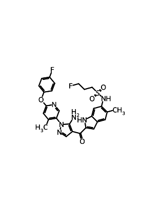 Cc1cc2cc(C(=O)c3cnn(-c4cnc(Oc5ccc(F)cc5)cc4C)c3N)[nH]c2cc1NS(=O)(=O)CCCF